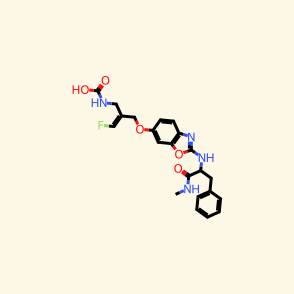 CNC(=O)C(Cc1ccccc1)Nc1nc2ccc(OCC(=CF)CNC(=O)O)cc2o1